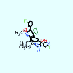 COc1nc2c(C)cc(C(O)(c3ccc(F)nc3)c3cncn3C)cc2c(Cl)c1-c1cccc(F)c1